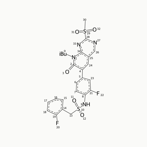 CCC(C)n1c(=O)c(-c2ccc(NS(=O)(=O)Cc3ccccc3F)c(F)c2)cc2cnc(S(C)(=O)=O)nc21